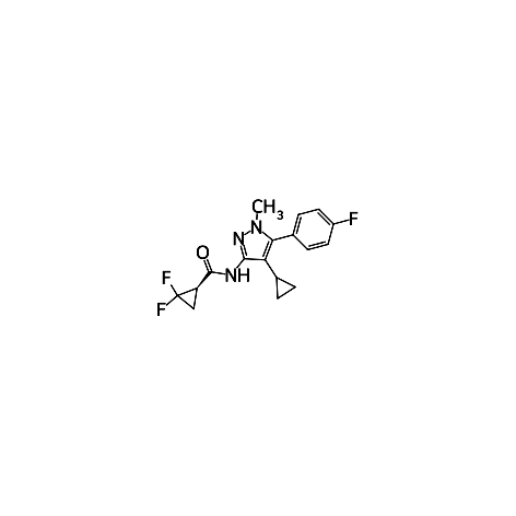 Cn1nc(NC(=O)[C@H]2CC2(F)F)c(C2CC2)c1-c1ccc(F)cc1